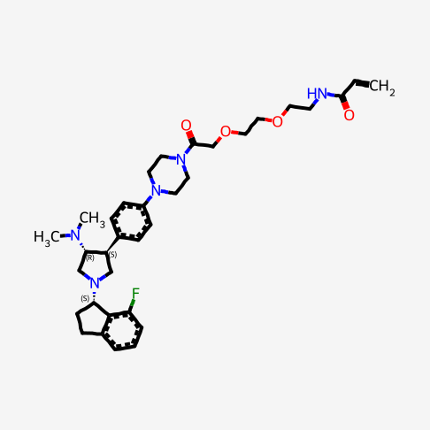 C=CC(=O)NCCOCCOCC(=O)N1CCN(c2ccc([C@H]3CN([C@H]4CCc5cccc(F)c54)C[C@@H]3N(C)C)cc2)CC1